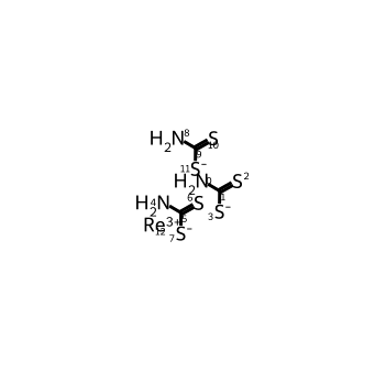 NC(=S)[S-].NC(=S)[S-].NC(=S)[S-].[Re+3]